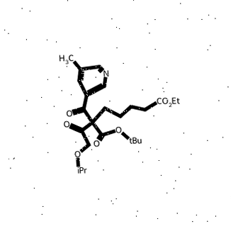 CCOC(=O)CCCCC(C(=O)COC(C)C)(C(=O)OC(C)(C)C)C(=O)c1cncc(C)c1